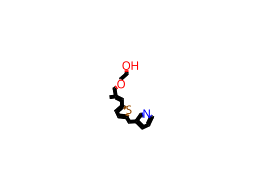 C/C(=C\c1ccc(Cc2cccnc2)s1)COCCO